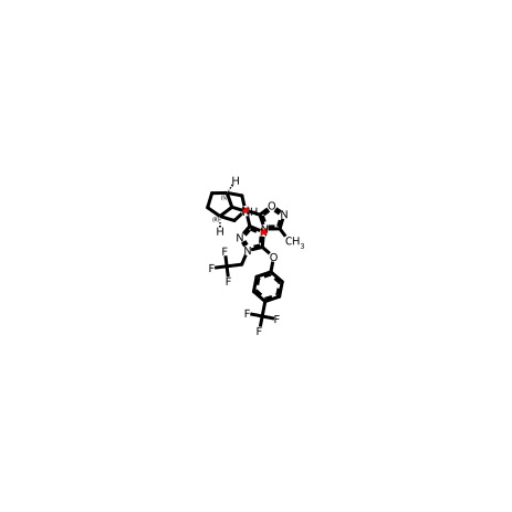 Cc1noc(N2C[C@H]3CC[C@@H](C2)C3Nc2nc(Oc3ccc(C(F)(F)F)cc3)n(CC(F)(F)F)n2)n1